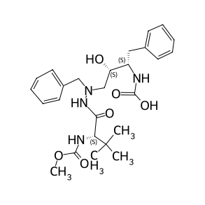 COC(=O)N[C@H](C(=O)NN(Cc1ccccc1)C[C@H](O)[C@H](Cc1ccccc1)NC(=O)O)C(C)(C)C